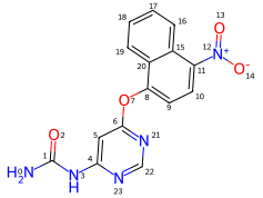 NC(=O)Nc1cc(Oc2ccc([N+](=O)[O-])c3ccccc23)ncn1